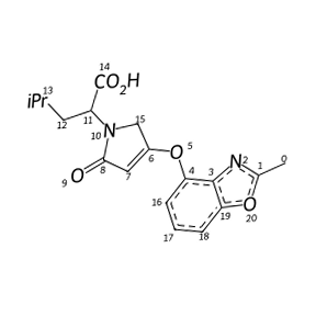 Cc1nc2c(OC3=CC(=O)N(C(CC(C)C)C(=O)O)C3)cccc2o1